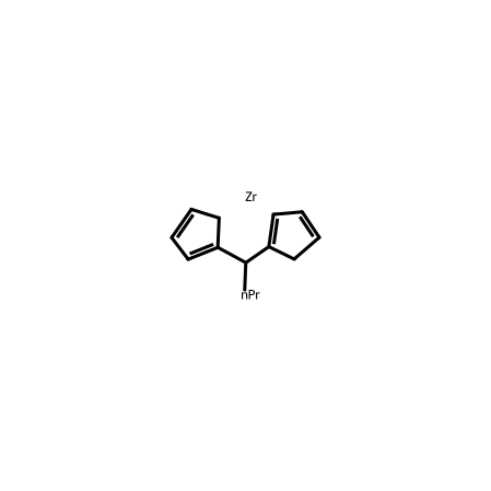 CCCC(C1=CC=CC1)C1=CC=CC1.[Zr]